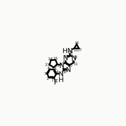 Fc1ccccc1Nc1nc2cnc(NC3CC3)nc2n1C1CCCC1